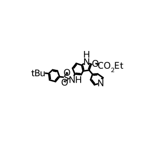 CCOC(=O)Oc1[nH]c2ccc(NS(=O)(=O)c3ccc(C(C)(C)C)cc3)cc2c1-c1ccncc1